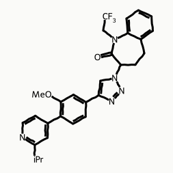 COc1cc(-c2cn(C3CCc4ccccc4N(CC(F)(F)F)C3=O)nn2)ccc1-c1ccnc(C(C)C)c1